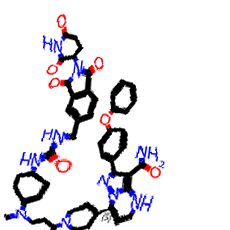 CN(CCC(=O)N1CCC([C@@H]2CCNc3c(C(N)=O)c(-c4ccc(Oc5ccccc5)cc4)nn32)CC1)C1CCC(NC(=O)NCc2ccc3c(c2)C(=O)N(C2CCC(=O)NC2=O)C3=O)CC1